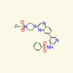 O=S(=O)(Nc1cncc(-c2ccc3ncc(N4CCN(S(=O)(=O)C5CC5)CC4)nc3c2)c1)c1ccccc1